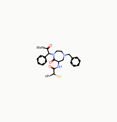 CCCC(S)C(=O)NC1CN(Cc2ccccc2)CCN(C(C(=O)NC)c2ccccc2)C1=O